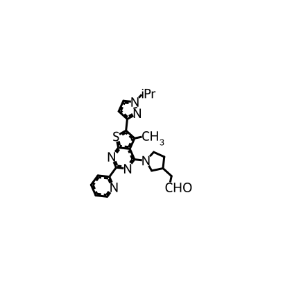 Cc1c(-c2ccn(C(C)C)n2)sc2nc(-c3ccccn3)nc(N3CCC(CC=O)C3)c12